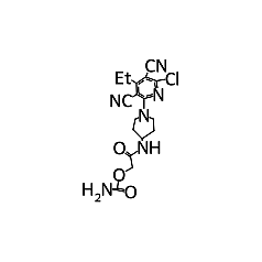 CCc1c(C#N)c(Cl)nc(N2CCC(NC(=O)COC(N)=O)CC2)c1C#N